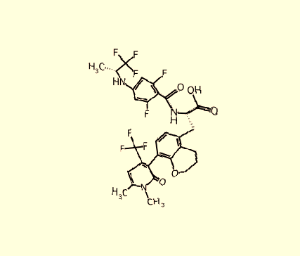 Cc1cc(C(F)(F)F)c(-c2ccc(C[C@H](NC(=O)c3c(F)cc(N[C@H](C)C(F)(F)F)cc3F)C(=O)O)c3c2OCCC3)c(=O)n1C